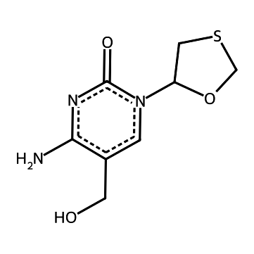 Nc1nc(=O)n(C2CSCO2)cc1CO